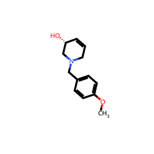 COc1ccc(CN2CC=C[C@@H](O)C2)cc1